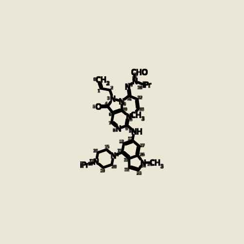 C=CCn1c(=O)c2cnc(Nc3cc(N4CCN(C(C)C)CC4)c4ccn(C)c4c3)nc2n1C(/C=C\C)=N/N(C=O)C(C)C